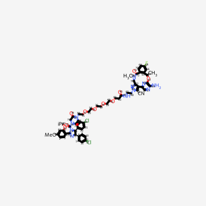 COc1ccc(C2=N[C@H](c3ccc(Cl)cc3)[C@H](c3ccc(Cl)cc3)N2C(=O)N2CCN(CCOCCOCCOCCOCCC(=O)NCCn3nc4c(c3C#N)-c3cnc(N)c(n3)O[C@H](C)c3cc(F)ccc3C(=O)N(C)C4)C(=O)C2)c(OC(C)C)c1